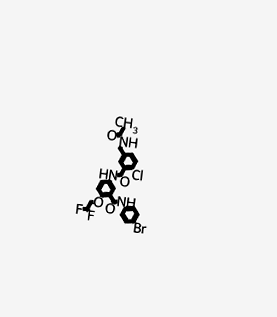 CCC(=O)NCc1ccc(Cl)c(C(=O)Nc2ccc(OCC(F)F)c(C(=O)Nc3ccc(Br)cc3)c2)c1